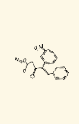 COC(=O)CC(=O)C(=Cc1ccccc1)c1cccc([N+](=O)[O-])c1